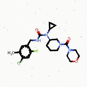 Cc1cc(CNC(=O)N(C2CC2)[C@@H]2CCCN(C(=O)N3CCOCC3)C2)c(F)cc1Cl